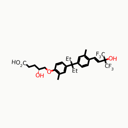 CCC(CC)(c1ccc(C=CC(O)(C(F)(F)F)C(F)(F)F)c(C)c1)c1ccc(OC[C@H](O)CCC(=O)O)c(C)c1